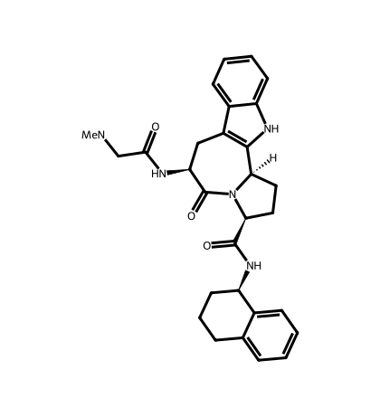 CNCC(=O)N[C@H]1Cc2c([nH]c3ccccc23)[C@H]2CC[C@@H](C(=O)N[C@@H]3CCCc4ccccc43)N2C1=O